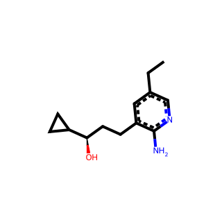 CCc1cnc(N)c(CC[C@@H](O)C2CC2)c1